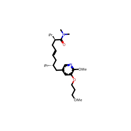 COCCCOc1cc(C[C@@H](C/C=C/C[C@H](C(=O)N(C)C)C(C)C)C(C)C)cnc1OC